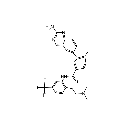 Cc1ccc(C(=O)Nc2cc(C(F)(F)F)ccc2CCN(C)C)cc1-c1ccc2nc(N)ncc2c1